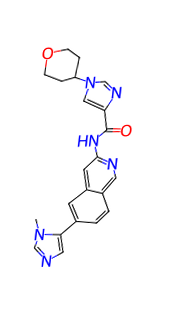 Cn1cncc1-c1ccc2cnc(NC(=O)c3cn(C4CCOCC4)cn3)cc2c1